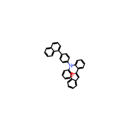 c1ccc(N(c2ccc(-c3cccc4ccccc34)cc2)c2ccccc2-c2cc3ccccc3o2)cc1